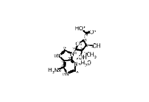 C[C@@]1(O)[C@H](O)[C@@H](C(=O)O)O[C@H]1n1cnc2c(N)ncnc21.O